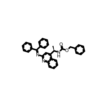 C[C@@H](NC(=O)OCc1ccccc1)c1cc(N=C(c2ccccc2)c2ccccc2)nc2ccccc12